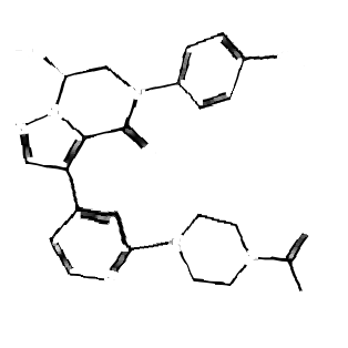 CC(=O)N1CCN(c2cc(-c3cnn4c3C(=O)N(c3ccc(C)cc3)C[C@@H]4C)ccn2)CC1